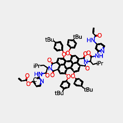 C=CC(=O)Nc1ccnc(NC(=O)C(CC(C)C)N2C(=O)c3cc(Oc4ccc(C(C)(C)C)cc4)c4c5c(Oc6ccc(C(C)(C)C)cc6)cc6c7c(cc(Oc8ccc(C(C)(C)C)cc8)c(c8c(Oc9ccc(C(C)(C)C)cc9)cc(c3c48)C2=O)c75)C(=O)N(C(CC(C)C)C(=O)Nc2cc(OC(=O)C=C)ccn2)C6=O)c1